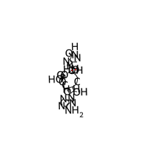 Nc1ncnc2c1ncn2[C@@H]1O[C@@H]2COP(=O)(O)O[C@@H]3[C@H](O)C(CCC[C@H]2[C@H]1O)O[C@H]3n1cnc2c(=O)[nH]ncc21